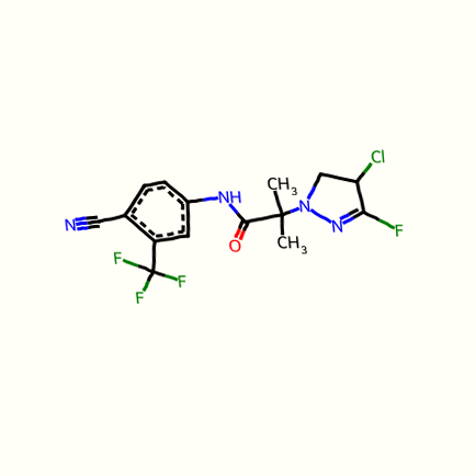 CC(C)(C(=O)Nc1ccc(C#N)c(C(F)(F)F)c1)N1CC(Cl)C(F)=N1